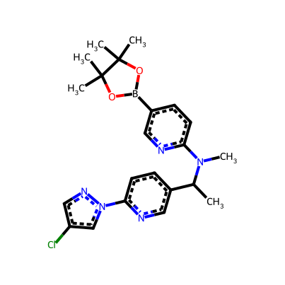 CC(c1ccc(-n2cc(Cl)cn2)nc1)N(C)c1ccc(B2OC(C)(C)C(C)(C)O2)cn1